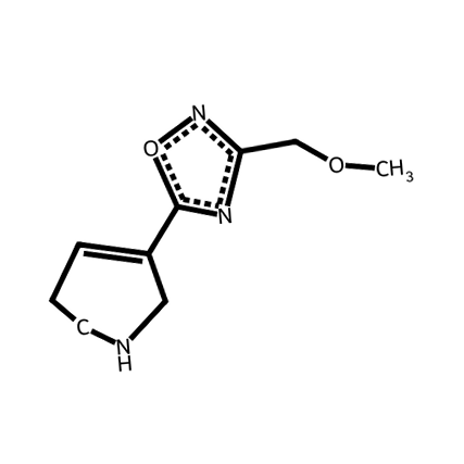 COCc1noc(C2=CCCNC2)n1